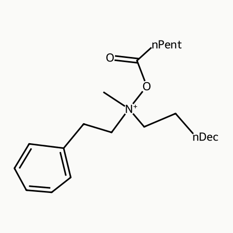 CCCCCCCCCCCC[N+](C)(CCc1ccccc1)OC(=O)CCCCC